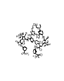 CCN(CC)c1ccc(/N=N/c2sc(/C=C(/C(C)=O)C(=O)Nc3cccc(C(N)=O)c3)c(S(=O)(=O)O)c2C#N)c(Nc2nc(Nc3cc(N(CC)CC)ccc3/N=N/c3sc(/C=C(\C(C)=O)C(=O)Nc4cccc(C(N)=O)c4)c(S(=O)(=O)O)c3C#N)nc(SCCO)n2)c1